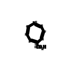 O=C(O)C1=C/C=C\N=C/C=C\1